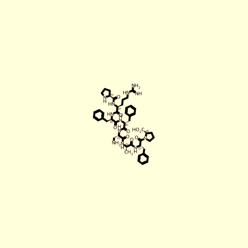 C[C@H](NC(=O)[C@H](CN)NC(=O)[C@@H](Cc1ccccc1)NC(=O)[C@@H](Cc1ccccc1)NC(=O)[C@H](CCCNC(=N)N)NC(=O)[C@@H]1CCCN1)C(=O)N[C@@H](Cc1ccccc1)C(=O)N1CCC[C@@H]1C(=O)O